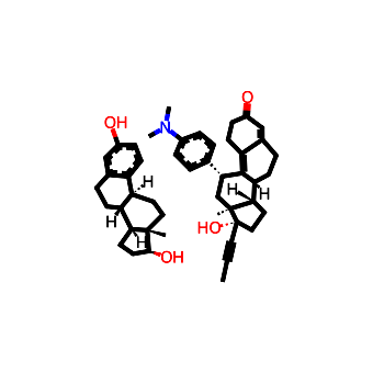 CC#C[C@]1(O)CC[C@H]2[C@@H]3CCC4=CC(=O)CCC4=C3[C@@H](c3ccc(N(C)C)cc3)C[C@@]21C.C[C@]12CC[C@@H]3c4ccc(O)cc4CC[C@H]3[C@@H]1CC[C@@H]2O